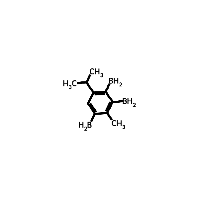 Bc1cc(C(C)C)c(B)c(B)c1C